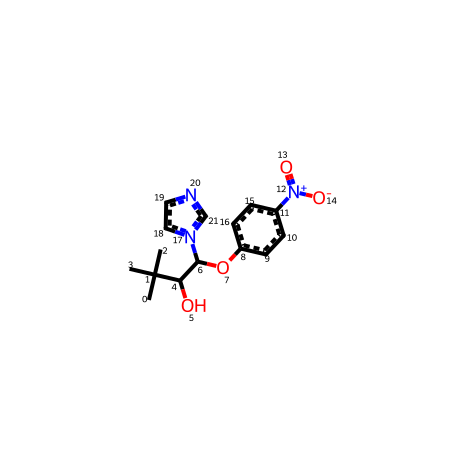 CC(C)(C)C(O)C(Oc1ccc([N+](=O)[O-])cc1)n1ccnc1